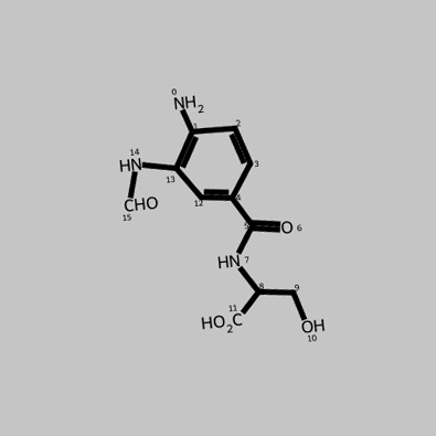 Nc1ccc(C(=O)NC(CO)C(=O)O)cc1NC=O